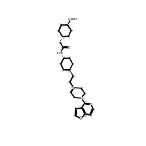 CO[C@H]1CC[C@H](CC(=O)N[C@H]2CC[C@H](CCN3CCN(c4nccc5occc45)CC3)CC2)CC1